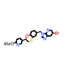 COc1ccc(C2CSc3cc(Cn4cnc5cc(Br)cnc54)ccc3O2)cn1